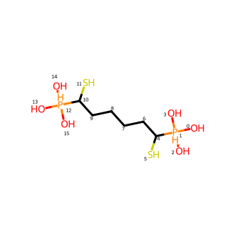 O[PH](O)(O)C(S)CCCCC(S)[PH](O)(O)O